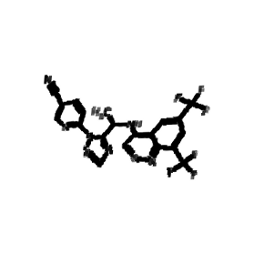 C[C@@H](Nc1cnnc2c(C(F)(F)F)cc(C(F)(F)F)cc12)c1ncnn1-c1ccc(C#N)cn1